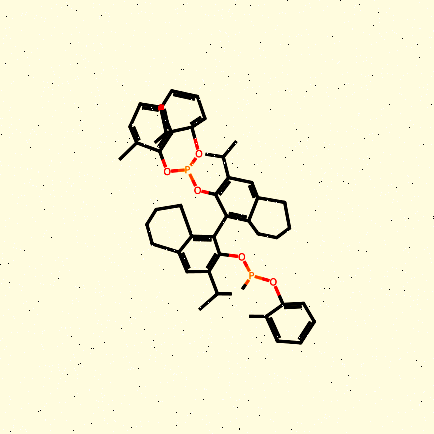 Cc1ccccc1OP(C)Oc1c(C(C)C)cc2c(c1-c1c3c(cc(C(C)C)c1OP(Oc1ccccc1C)Oc1ccccc1C)CCCC3)CCCC2